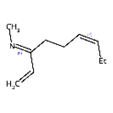 C=C/C(CC/C=C\CC)=N/C